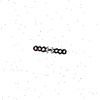 C1=CC2CCC1c1cc3cc4c(cc3cc12)SC(=C1Sc2cc3c(cc2S1)=CC1C2C=CC(CC2)C1C=3)S4